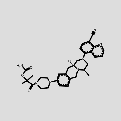 C[C@@H]1CN(c2ccc(C#N)c3ncccc23)C[C@@H]2Cc3cc(N4CCN(C(=O)C(C)(C)OC(N)=O)CC4)ccc3CN21